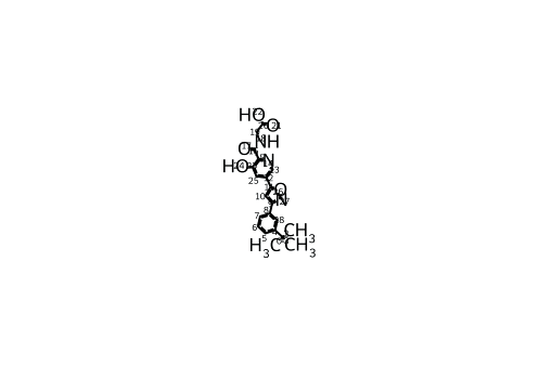 CC(C)(C)c1cccc(-c2cc(-c3cnc(C(=O)NCC(=O)O)c(O)c3)on2)c1